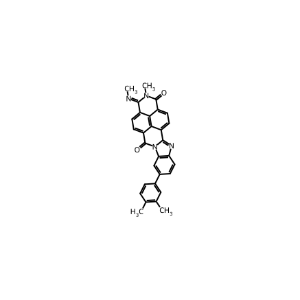 C/N=C1/c2ccc3c(=O)n4c5cc(-c6ccc(C)c(C)c6)ccc5nc4c4ccc(c2c34)C(=O)N1C